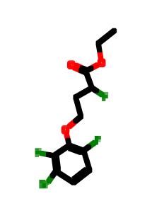 CCOC(=O)C(F)CCOc1c(F)ccc(Br)c1F